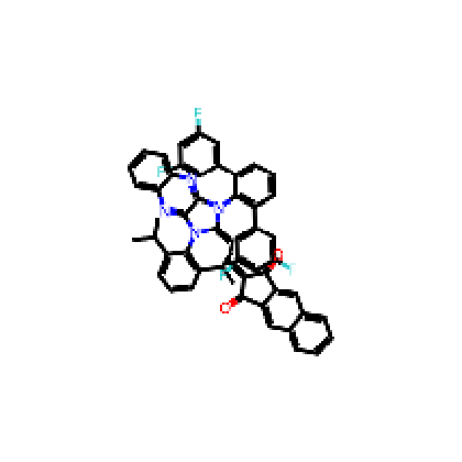 CC(C)c1cccc(C(C)C)c1N1/C(=C\C=C2C(=O)c3cc4ccccc4cc3C2=O)N(c2c(-c3cc(F)cc(F)c3)cccc2-c2cc(F)cc(F)c2)c2nc3ccccc3nc21